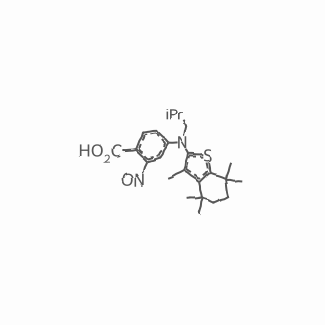 Cc1c(N(CC(C)C)c2ccc(C(=O)O)c(N=O)c2)sc2c1C(C)(C)CCC2(C)C